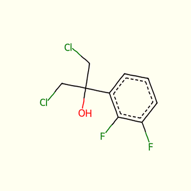 OC(CCl)(CCl)c1cccc(F)c1F